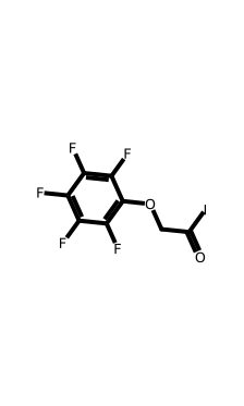 O=C(I)COc1c(F)c(F)c(F)c(F)c1F